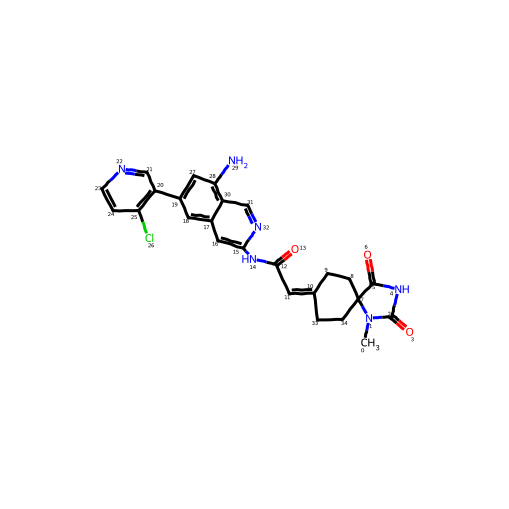 CN1C(=O)NC(=O)C12CCC(=CC(=O)Nc1cc3cc(-c4cnccc4Cl)cc(N)c3cn1)CC2